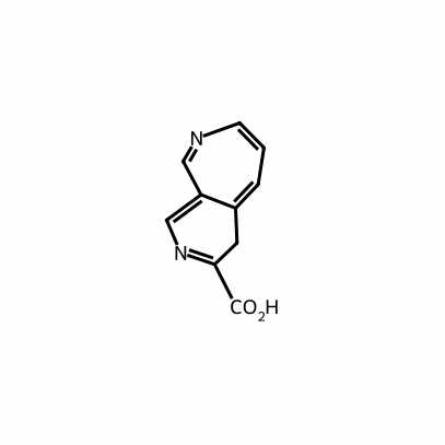 O=C(O)C1=NC=C2C=NC=CC=C2C1